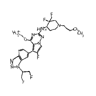 COCCN1CC[C@@H](Nc2nc(OC)c3c(-c4ccc5nnn(C(CF)CF)c5c4)c(F)cn3n2)C(F)(F)C1